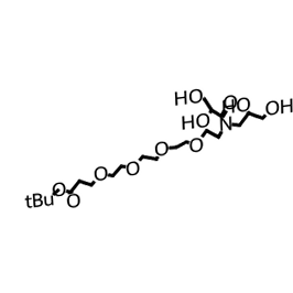 CC(C)(C)OC(=O)CCOCCOCCOCCOCCN(CC(O)CO)C(=O)C(O)CO